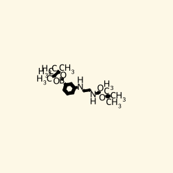 CC(C)(C)OC(=O)NCCNc1cccc(B2OC(C)(C)C(C)(C)O2)c1